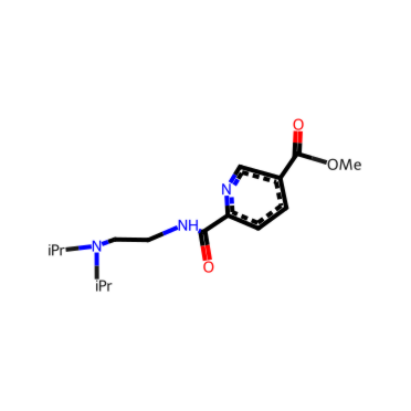 COC(=O)c1ccc(C(=O)NCCN(C(C)C)C(C)C)nc1